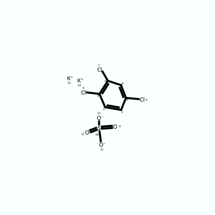 Clc1ccc(Cl)c(Cl)c1.O=S(=O)([O-])[O-].[K+].[K+]